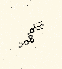 CCOC(O)N1CC=C(c2cccn3nc(Nc4ccc(C(=O)N5CCN(C)C(C(=O)N(C)C)C5)cc4)nc23)CC1